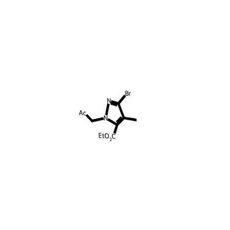 CCOC(=O)c1c(C)c(Br)nn1CC(C)=O